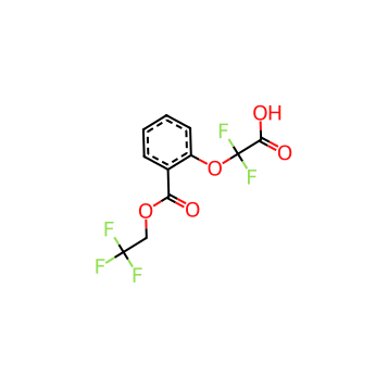 O=C(OCC(F)(F)F)c1ccccc1OC(F)(F)C(=O)O